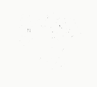 c1ccc(-c2ccc(-c3ccc(N(c4cccc(-c5ccc6c(c5)c5ccccc5n6-c5ccccc5)c4)c4cccc5ccccc45)cc3)cc2-c2ccccc2)cc1